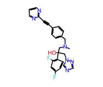 CN(Cc1ccc(C#Cc2ncccn2)cc1)CC(O)(Cn1cncn1)c1ccc(F)cc1F